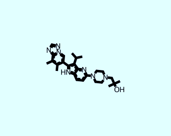 Cc1c(-c2[nH]c3ccc(N4CCN(CC(C)(C)O)CC4)nc3c2C(C)C)cn2ncnc2c1C